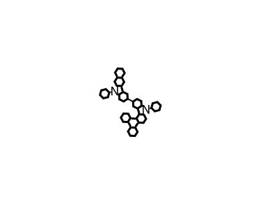 c1ccc(-n2c3ccc(-c4ccc5c(c4)c4c6c7ccccc7c7ccccc7c6ccc4n5-c4ccccc4)cc3c3cc4ccccc4cc32)cc1